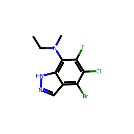 CCN(C)c1c(F)c(Cl)c(Br)c2cn[nH]c12